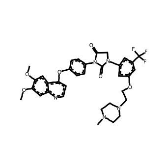 COc1cc2nccc(Oc3ccc(N4C(=O)CN(c5cc(OCCN6CCN(C)CC6)cc(C(F)(F)F)c5)C4=O)cc3)c2cc1OC